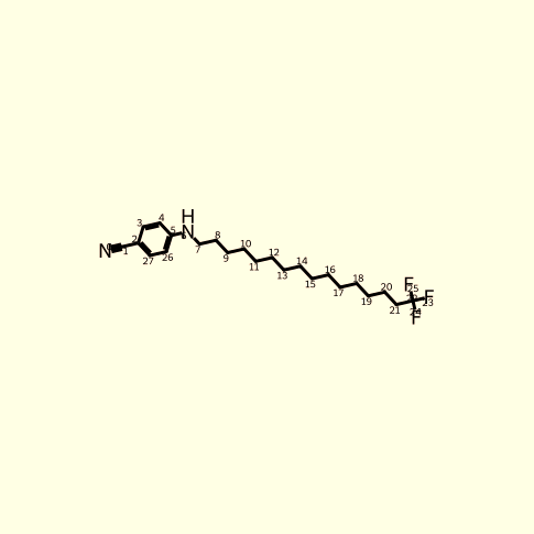 N#Cc1ccc(NCCCCCCCCCCCCCCCC(F)(F)F)cc1